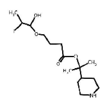 CC(I)C(O)OCCCC(=O)OC(C)(C)C1CCNCC1